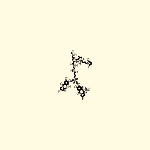 COc1cc2c(cc1OCCP(=O)(CCOc1cc3c(cc1OC)C(=O)N1C[C@H](F)C[C@H]1C(O[SH](=O)=O)N3)N(C)CCCC(=O)NCCNC(=O)[C@@H](CCCNC=O)NC(=O)[C@H](NC(=O)CCCN1C(=O)C=CC1=O)C(C)C)NC[C@@H]1C[C@@H](F)CN1C2=O